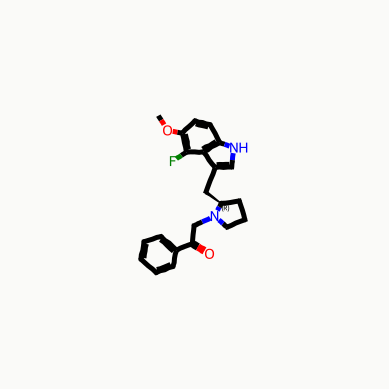 COc1ccc2[nH]cc(C[C@H]3CCCN3CC(=O)c3ccccc3)c2c1F